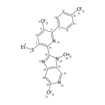 CCSc1cc(C(F)(F)F)c(-c2ccc(C(F)(F)F)cc2)nc1-c1nc2cc(C(F)(F)F)ncc2n1C